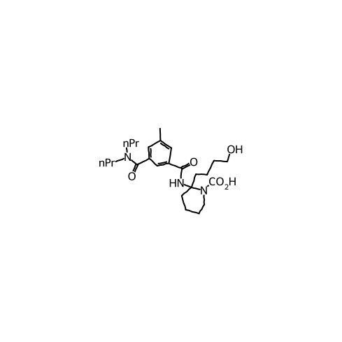 CCCN(CCC)C(=O)c1cc(C)cc(C(=O)NC2(CCCCO)CCCCN2C(=O)O)c1